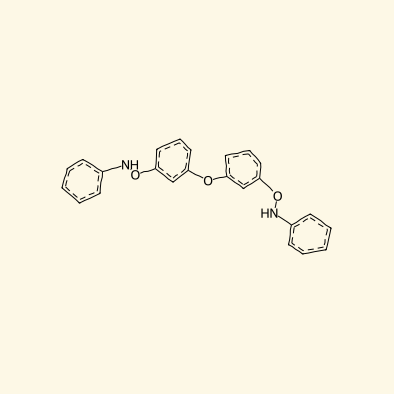 c1ccc(NOc2cccc(Oc3cccc(ONc4ccccc4)c3)c2)cc1